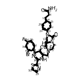 CCOC(=O)C1=C(CN2CCN3C(=O)N(c4ccc(CCC(N)=O)cc4)C[C@@H]3C2)NC(c2nccs2)=N[C@H]1c1ccc(F)cc1Br